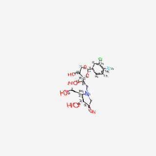 OC[C@@H]1[C@@H](O)[C@H](O)CN1C[C@@H](O)[C@H]1OC(c2ccc(F)c(Cl)c2)OC[C@H]1O